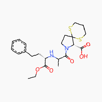 CCOC(=O)[C@H](CCc1ccccc1)NC(C)C(=O)N1CCC2(SCCCS2)[C@@H]1C(=O)O